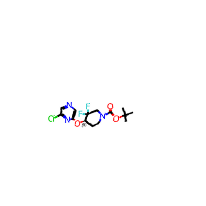 CC(C)(C)OC(=O)N1CC[C@@H](Oc2cncc(Cl)n2)C(F)(F)C1